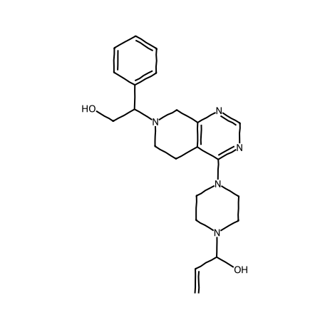 C=CC(O)N1CCN(c2ncnc3c2CCN(C(CO)c2ccccc2)C3)CC1